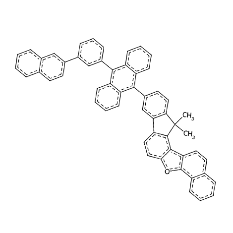 CC1(C)c2ccc(-c3c4ccccc4c(-c4cccc(-c5ccc6ccccc6c5)c4)c4ccccc34)cc2-c2ccc3oc4c5ccccc5ccc4c3c21